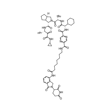 CCC[C@H](NC(=O)[C@@H]1C2CCC[C@H]2CN1C(=O)[C@@H](NC(=O)[C@@H](NC(=O)c1cnc(C(=O)NCCCCCCCC(=O)Nc2cccc3c2CN(C2CCC(=O)NC2=O)C3=O)cn1)C1CCCCC1)C(C)(C)C)C(=O)C(=O)NC1CC1